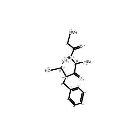 CC[C@H](C)[C@H](NC(=O)CNC)C(=O)[C@@H](Cc1ccccc1)[C@@H](C)O